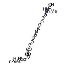 CCCCCc1cc2ccc(-c3cccc(S(=O)(=O)N4CC(OC(=O)CCOCCOCCOCCOCCOCCOCCOCCOCCOCCOCC/N=C(\NC)Nc5cccc(C#N)c5)C4)c3)cc2nc1N